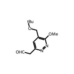 COc1nnc(CC=O)cc1COC(C)(C)C